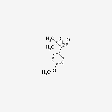 COc1ccc(N(C=O)[Si](C)(C)C)cn1